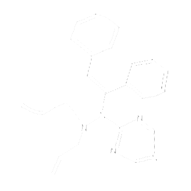 C=CCN(CC=C)N(C(=Cc1ccccc1)c1ccccc1)c1ncncn1